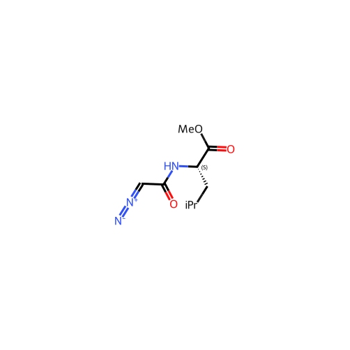 COC(=O)[C@H](CC(C)C)NC(=O)C=[N+]=[N-]